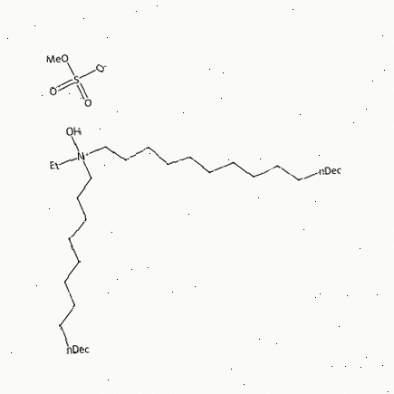 CCCCCCCCCCCCCCCCCCCC[N+](O)(CC)CCCCCCCCCCCCCCCCCC.COS(=O)(=O)[O-]